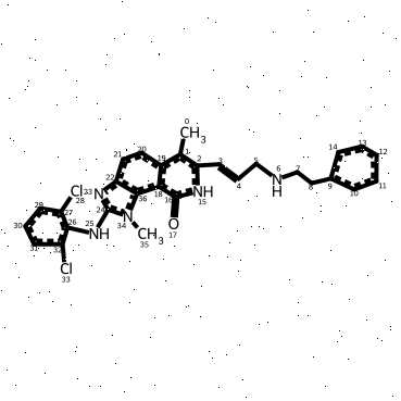 Cc1c(/C=C/CNCCc2ccccc2)[nH]c(=O)c2c1ccc1nc(Nc3c(Cl)cccc3Cl)n(C)c12